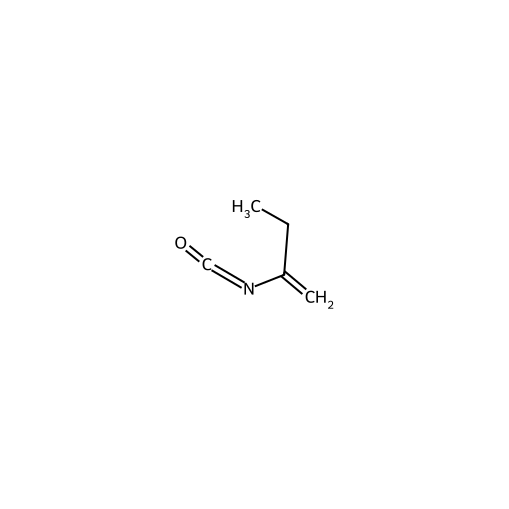 C=C(CC)N=C=O